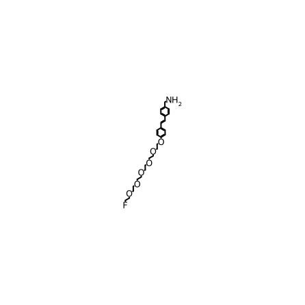 NCc1ccc(C=Cc2ccc(OCCOCCOCCOCCOCCOCCF)cc2)cc1